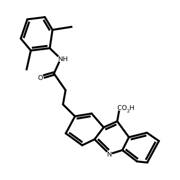 Cc1cccc(C)c1NC(=O)CCc1ccc2nc3ccccc3c(C(=O)O)c2c1